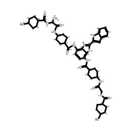 CC(=O)C1CCC(C(=O)OCC(=O)OC2CCC(C(=O)Oc3ccc(OC(=O)C4CCC(OC(=O)C(C)OC(=O)C5CCC(C(C)=O)CC5)CC4)c4nc(-c5cc6ccccc6s5)sc34)CC2)CC1